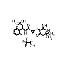 CC1(C)CC(=O)N(C[C@@H]2C[C@H]2C(=O)NC2CC(C)(C)Oc3cccc(F)c32)C(=N)N1.O=C(O)C(F)(F)F